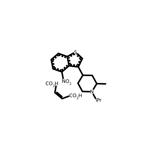 CC(C)N1CCC(c2csc3cccc([N+](=O)[O-])c23)CC1C.O=C(O)/C=C\C(=O)O